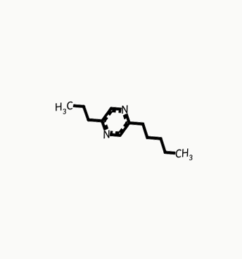 CCCCCc1cnc(CCC)cn1